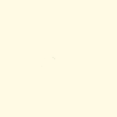 C=CC(=O)N1C=CC(C=C)=CC1